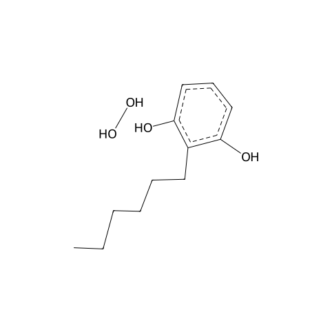 CCCCCCc1c(O)cccc1O.OO